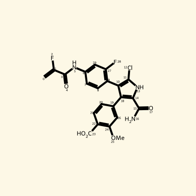 C=C(F)C(=O)Nc1ccc(-c2c(Cl)[nH]c(C(N)=O)c2-c2ccc(C(=O)O)c(OC)c2)c(F)c1